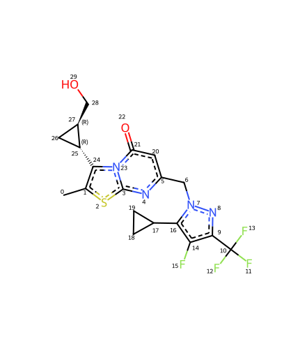 Cc1sc2nc(Cn3nc(C(F)(F)F)c(F)c3C3CC3)cc(=O)n2c1[C@@H]1C[C@H]1CO